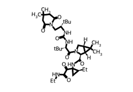 CCNC(=O)C(=O)[C@@]1(NC(=O)[C@@H]2[C@@H]3[C@H](CN2C(=O)[C@@H](NC(=O)N[C@H](CN2C(=O)CC(C)(C)CC2=O)C(C)(C)C)C(C)(C)C)C3(C)C)C[C@@H]1CC